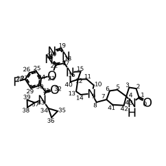 O=C1CCC2(CCC(CN3CCC4(CC3)CN(c3ncnnc3Oc3ccc(F)cc3C(=O)N(C3CC3)C3CC3)C4)CC2)N1